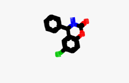 O=C1NC(c2ccccc2)c2cc(Cl)ccc2O1